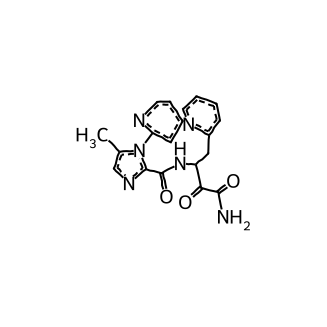 Cc1cnc(C(=O)NC(Cc2ccccn2)C(=O)C(N)=O)n1-c1ccccn1